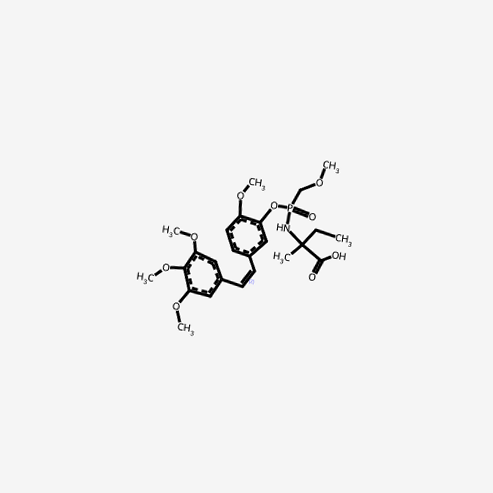 CCC(C)(NP(=O)(COC)Oc1cc(/C=C\c2cc(OC)c(OC)c(OC)c2)ccc1OC)C(=O)O